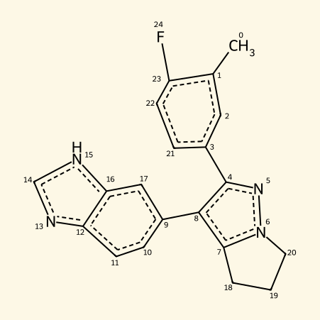 Cc1cc(-c2nn3c(c2-c2ccc4nc[nH]c4c2)CCC3)ccc1F